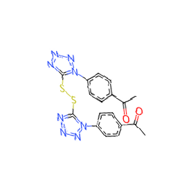 CC(=O)c1ccc(-n2nnnc2SSc2nnnn2-c2ccc(C(C)=O)cc2)cc1